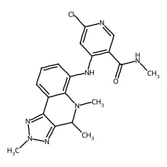 CNC(=O)c1cnc(Cl)cc1Nc1cccc2c1N(C)C(C)c1nn(C)nc1-2